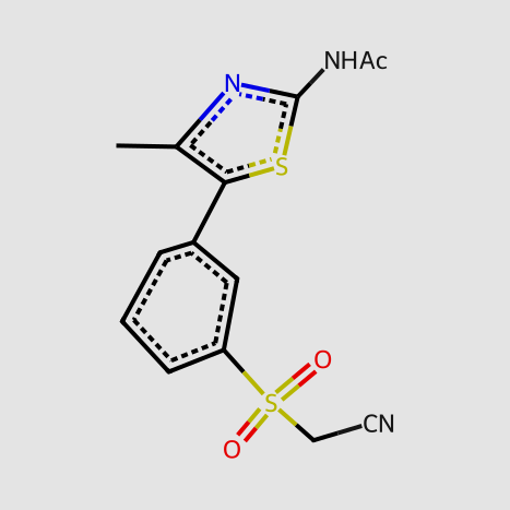 CC(=O)Nc1nc(C)c(-c2cccc(S(=O)(=O)CC#N)c2)s1